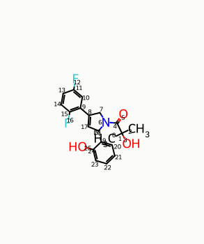 CC(C)(O)C(=O)N1CC(c2cc(F)ccc2F)=C[C@H]1c1ccccc1O